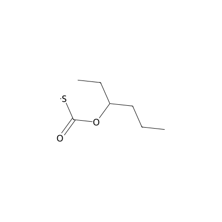 CCCC(CC)OC(=O)[S]